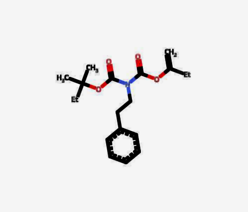 C=C(CC)OC(=O)N(CCc1ccccc1)C(=O)OC(C)(C)CC